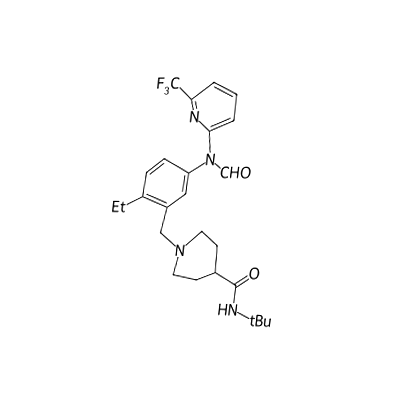 CCc1ccc(N(C=O)c2cccc(C(F)(F)F)n2)cc1CN1CCC(C(=O)NC(C)(C)C)CC1